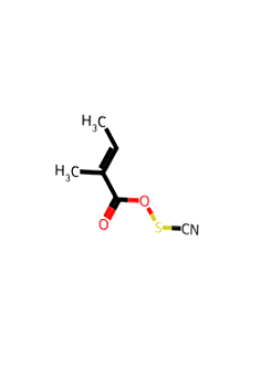 CC=C(C)C(=O)OSC#N